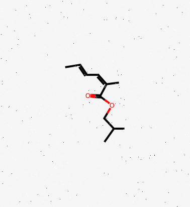 CC=CC=C(C)C(=O)OCC(C)C